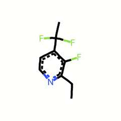 CCc1nccc(C(C)(F)F)c1F